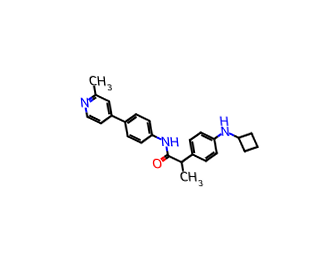 Cc1cc(-c2ccc(NC(=O)C(C)c3ccc(NC4CCC4)cc3)cc2)ccn1